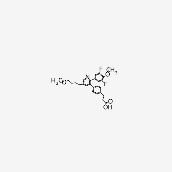 COCCCCc1cnc(-c2cc(F)c(OC)c(F)c2)c(-c2ccc(CCC(=O)O)cc2)c1